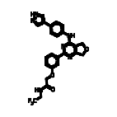 O=C(COc1cccc(-c2nc3c(c(Nc4ccc(-c5cn[nH]c5)cc4)n2)COC3)c1)NCC(F)(F)F